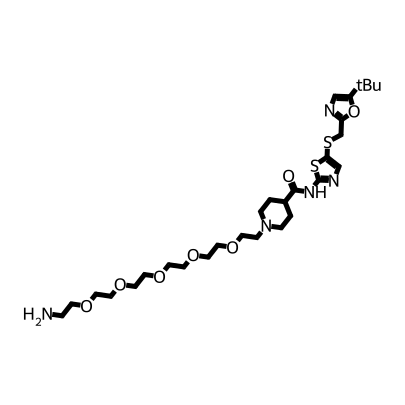 CC(C)(C)c1cnc(CSc2cnc(NC(=O)C3CCN(CCOCCOCCOCCOCCOCCN)CC3)s2)o1